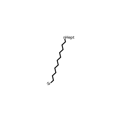 CCCCCCCCCCCCCCCCC[CH2][Sr]